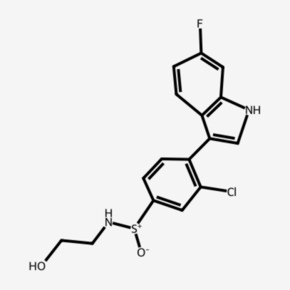 [O-][S+](NCCO)c1ccc(-c2c[nH]c3cc(F)ccc23)c(Cl)c1